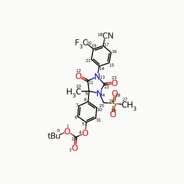 CC(C)(C)OC(=O)Oc1ccc(C2(C)C(=O)N(c3ccc(C#N)c(C(F)(F)F)c3)C(=O)N2CS(C)(=O)=O)cc1